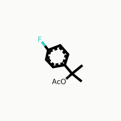 CC(=O)OC(C)(C)c1ccc(F)cc1